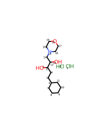 Cl.Cl.OC(CCC1CCCCC1)C(O)CN1CCOCC1